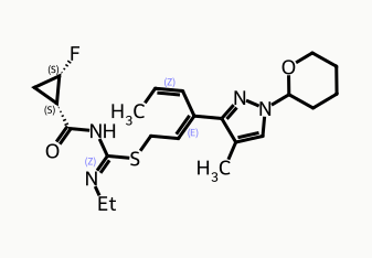 C/C=C\C(=C/CS/C(=N\CC)NC(=O)[C@@H]1C[C@@H]1F)c1nn(C2CCCCO2)cc1C